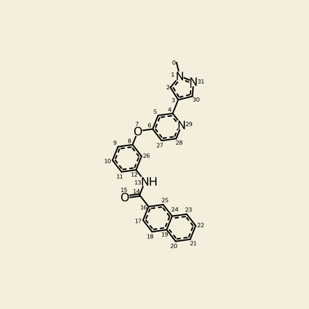 Cn1cc(-c2cc(Oc3cccc(NC(=O)c4ccc5ccccc5c4)c3)ccn2)cn1